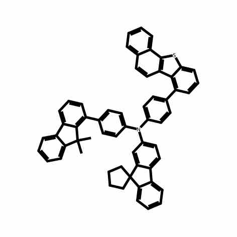 CC1(C)c2ccccc2-c2cccc(-c3ccc(N(c4ccc(-c5cccc6sc7c8ccccc8ccc7c56)cc4)c4ccc5c(c4)C4(CCCC4)c4ccccc4-5)cc3)c21